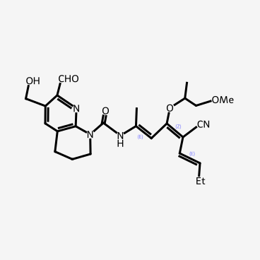 CC/C=C/C(C#N)=C(\C=C(/C)NC(=O)N1CCCc2cc(CO)c(C=O)nc21)OC(C)COC